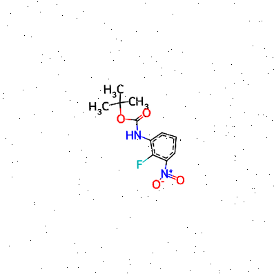 CC(C)(C)OC(=O)Nc1cccc([N+](=O)[O-])c1F